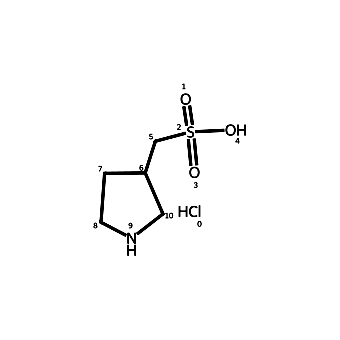 Cl.O=S(=O)(O)CC1CCNC1